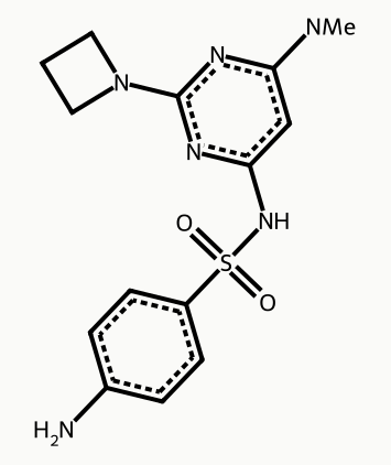 CNc1cc(NS(=O)(=O)c2ccc(N)cc2)nc(N2CCC2)n1